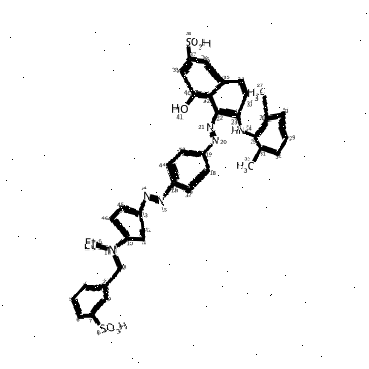 CCN(Cc1cccc(S(=O)(=O)O)c1)c1ccc(/N=N/c2ccc(/N=N/c3c(Nc4c(C)cccc4C)ccc4cc(S(=O)(=O)O)cc(O)c34)cc2)cc1